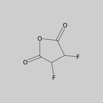 O=C1OC(=O)C(F)C1F